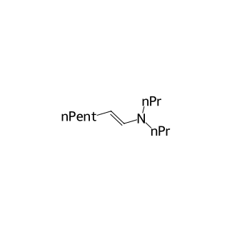 CCCCCC=CN(CCC)CCC